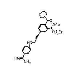 CCOC(=O)C(OC)c1cc(C#CCNc2ccc(C(=N)N)cc2)ccc1C(=O)N1CCCC1